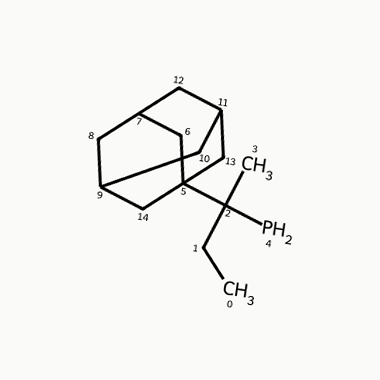 CCC(C)(P)C12CC3CC(CC(C3)C1)C2